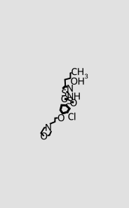 CCC(O)Cc1csc(NS(=O)(=O)c2ccc(OCCCN3CCOCC3)c(Cl)c2)n1